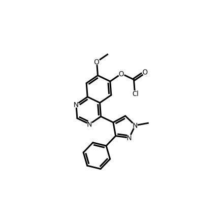 COc1cc2ncnc(-c3cn(C)nc3-c3ccccc3)c2cc1OC(=O)Cl